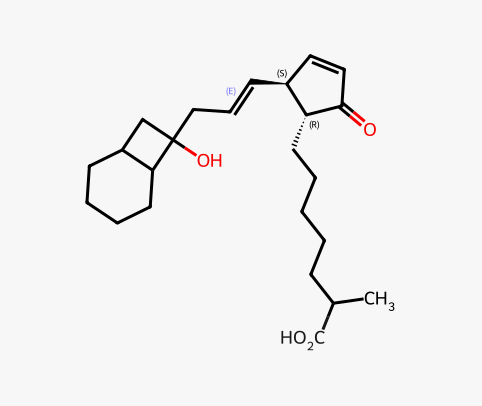 CC(CCCCC[C@H]1C(=O)C=C[C@@H]1/C=C/CC1(O)CC2CCCCC21)C(=O)O